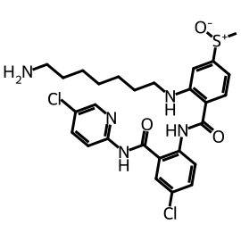 C[S+]([O-])c1ccc(C(=O)Nc2ccc(Cl)cc2C(=O)Nc2ccc(Cl)cn2)c(NCCCCCCCN)c1